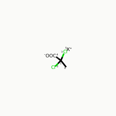 CC(Cl)(Cl)C(=O)[O-].[K+]